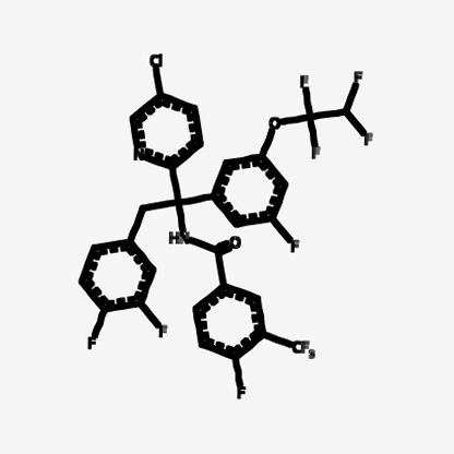 O=C(NC(Cc1ccc(F)c(F)c1)(c1cc(F)cc(OC(F)(F)C(F)F)c1)c1ccc(Cl)cn1)c1ccc(F)c(C(F)(F)F)c1